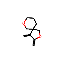 C=C1OCC2(CCCOC2)C1=C